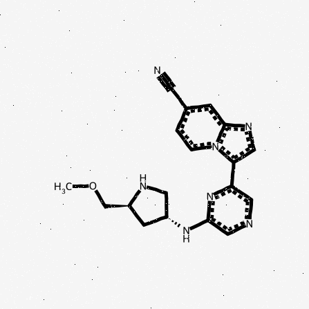 COC[C@@H]1C[C@@H](Nc2cncc(-c3cnc4cc(C#N)ccn34)n2)CN1